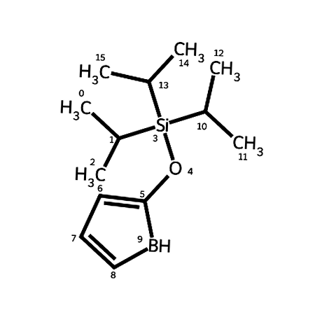 CC(C)[Si](OC1=CC=CB1)(C(C)C)C(C)C